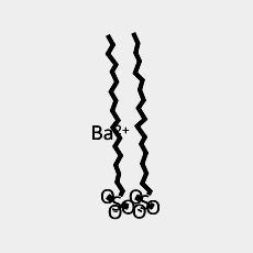 CCCCCCCCCCCCCCCCCCS(=O)(=O)[O-].CCCCCCCCCCCCCCCCCCS(=O)(=O)[O-].[Ba+2]